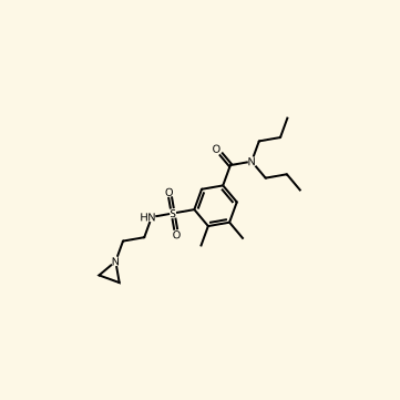 CCCN(CCC)C(=O)c1cc(C)c(C)c(S(=O)(=O)NCCN2CC2)c1